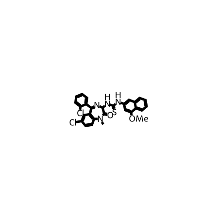 COc1cc(NC(=S)NC2N=C(c3ccccc3Cl)c3cc(Cl)ccc3N(C)C2=O)cc2ccccc12